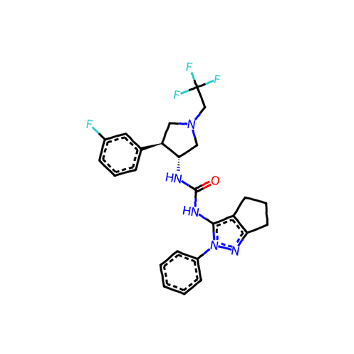 O=C(Nc1c2c(nn1-c1ccccc1)CCC2)N[C@H]1CN(CC(F)(F)F)C[C@@H]1c1cccc(F)c1